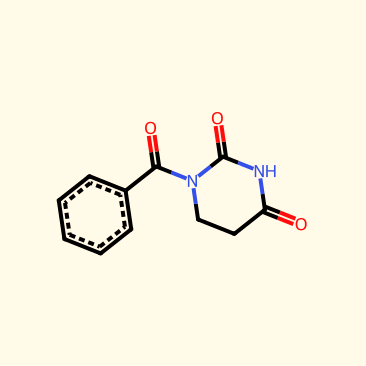 O=C1CCN(C(=O)c2ccccc2)C(=O)N1